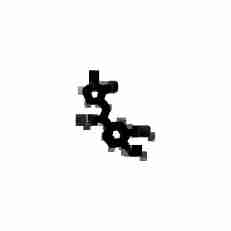 Nc1ccc(C(N)CC2CCNC2=O)cc1[N+](=O)[O-]